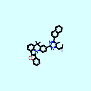 C/C=C\c1nc(-c2ccc3c(c2)C(C)(C)c2cccc4c5oc6ccccc6c5n-3c24)nc(-c2ccc3ccccc3c2)c1C